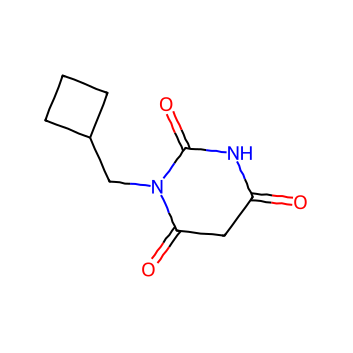 O=C1CC(=O)N(CC2CCC2)C(=O)N1